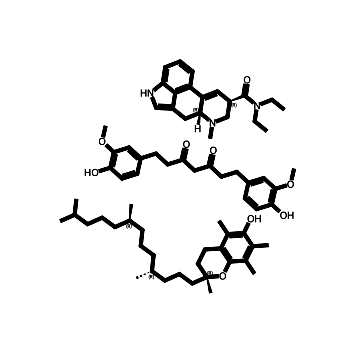 CCN(CC)C(=O)[C@@H]1C=C2c3cccc4[nH]cc(c34)C[C@H]2N(C)C1.COc1cc(CCC(=O)CC(=O)CCc2ccc(O)c(OC)c2)ccc1O.Cc1c(C)c2c(c(C)c1O)CC[C@@](C)(CCC[C@H](C)CCC[C@H](C)CCCC(C)C)O2